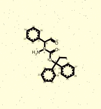 CCC(OC(=O)N(N)C(C=O)c1ccccc1)(c1ccccc1)c1ccccc1